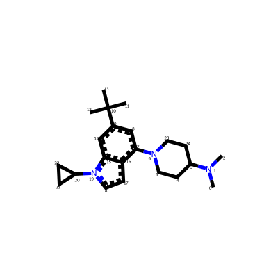 CN(C)C1CCN(c2cc(C(C)(C)C)cc3c2ccn3C2CC2)CC1